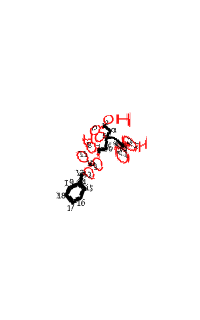 O=C(O)CC(O)(CC(=O)OC(=O)OCc1ccccc1)C(=O)O